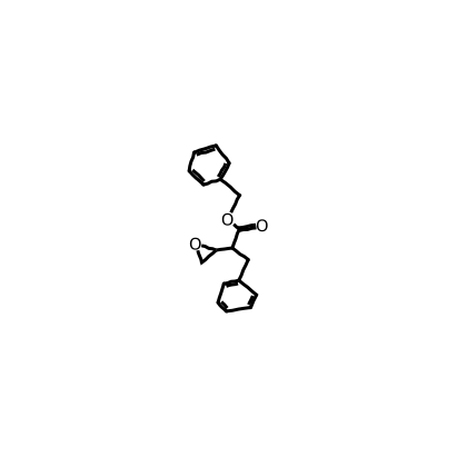 O=C(OCc1ccccc1)C(Cc1ccccc1)C1CO1